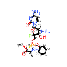 CC(C)OC(=O)C(C)NP(=S)(OC[C@@]1(F)O[C@@H](n2ccc(N)nc2=O)[C@](C)(N)[C@@H]1O)Oc1ccccc1